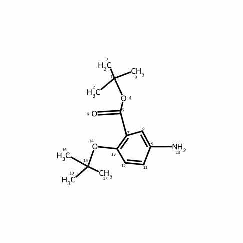 CC(C)(C)OC(=O)c1cc(N)ccc1OC(C)(C)C